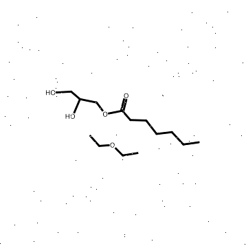 CCCCCCC(=O)OCC(O)CO.CCOCC